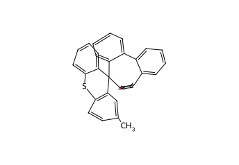 Cc1ccc2c(c1)C1(c3ccccc3S2)c2ccccc2-c2ccccc2-c2ccccc21